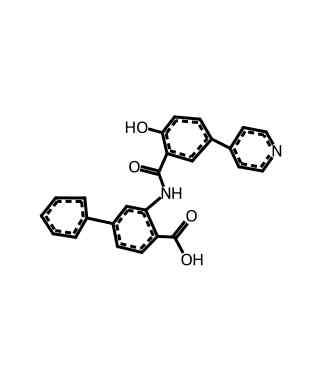 O=C(Nc1cc(-c2ccccc2)ccc1C(=O)O)c1cc(-c2ccncc2)ccc1O